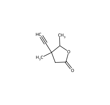 C#CC1(C)CC(=O)OC1C